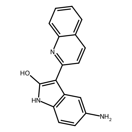 Nc1ccc2[nH]c(O)c(-c3ccc4ccccc4n3)c2c1